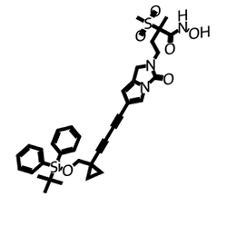 CC(C)(C)[Si](OCC1(C#CC#Cc2cc3n(c2)C(=O)N(CCC(C)(C(=O)NO)S(C)(=O)=O)C3)CC1)(c1ccccc1)c1ccccc1